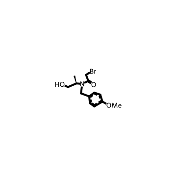 COc1ccc(CN(C(=O)CBr)[C@H](C)CO)cc1